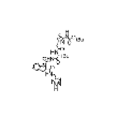 CC[C@H](C)[C@H](NC(=O)Cc1csc(NC(=O)OC(C)(C)C)n1)C(=O)NCC(=O)N1c2ccccc2C[C@H]1C(=O)NCc1nn[nH]n1